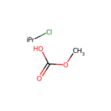 CC(C)Cl.COC(=O)O